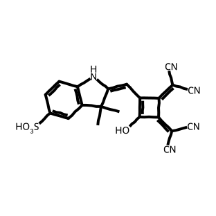 CC1(C)C(=CC2=C(O)C(=C(C#N)C#N)C2=C(C#N)C#N)Nc2ccc(S(=O)(=O)O)cc21